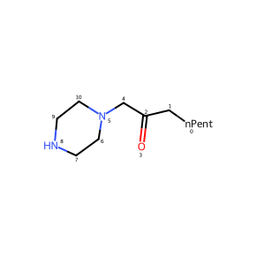 CCCCCCC(=O)CN1CCNCC1